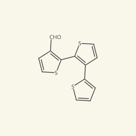 O=Cc1ccsc1-c1sccc1-c1cccs1